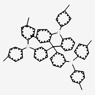 Cc1ccc(N(c2ccc(C)cc2)c2cccc(C3(c4cccc(N(c5ccc(C)cc5)c5ccc(C)cc5)c4)c4ccccc4N(c4ccc(C)cc4)c4ccc(C)cc43)c2)cc1